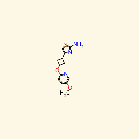 COc1ccc(OC2CC(c3csc(N)n3)C2)nc1